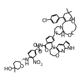 CC1(C)CC(c2ccc(Cl)cc2)=C2CN3CCN(c4ccc(C(=O)NS(=O)(=O)c5ccc(NC[C@H]6CCC(C)(O)CO6)c([N+](=O)[O-])c5)c(N5CCCOc6nc7[nH]ccc7cc65)c4)C[C@H]3COCCCO[C@@H]2C1